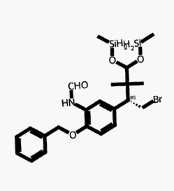 C[SiH2]OC(O[SiH2]C)C(C)(C)[C@H](CBr)c1ccc(OCc2ccccc2)c(NC=O)c1